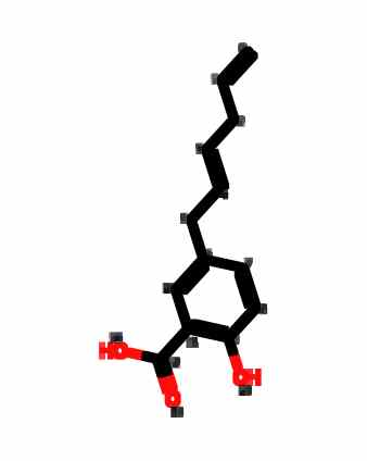 C=CCC=CCc1ccc(O)c(C(=O)O)c1